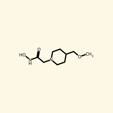 COCC1CCN(CC(=O)NO)CC1